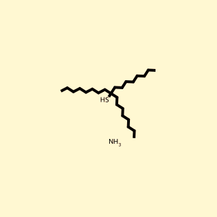 CCCCCCCCC(S)(CCCCCCCC)CCCCCCCC.N